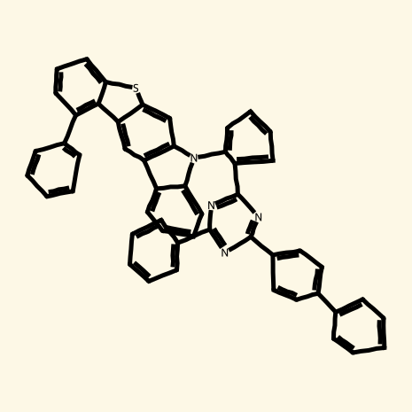 c1ccc(-c2ccc(-c3nc(-c4ccccc4)nc(-c4ccccc4-n4c5ccccc5c5cc6c(cc54)sc4cccc(-c5ccccc5)c46)n3)cc2)cc1